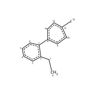 CCc1ccccc1-c1c[c]c(I)cc1